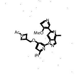 COc1ccncc1-c1cc2c(cnn2-c2cc(OCC3CN(C(C)=O)C3)cc(C(C)C)n2)c(C)n1